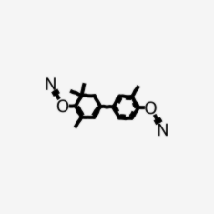 CC1=C(OC#N)C(C)(C)CC(c2ccc(OC#N)c(C)c2)=C1